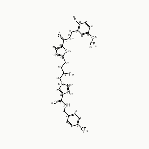 O=C(NCc1ccc(C(F)(F)F)cn1)c1cn(CC(F)CCc2nnc(C(=O)NCc3cc(OC(F)(F)F)ccc3F)s2)nn1